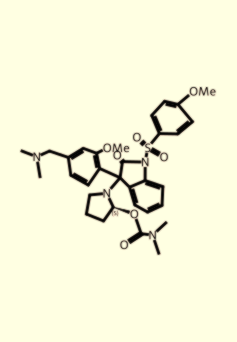 COc1ccc(S(=O)(=O)N2C(=O)C(c3ccc(CN(C)C)cc3OC)(N3CCC[C@@H]3OC(=O)N(C)C)c3ccccc32)cc1